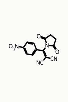 N#CC(C#N)=C(c1ccc([N+](=O)[O-])cc1)N1C(=O)CCC1=O